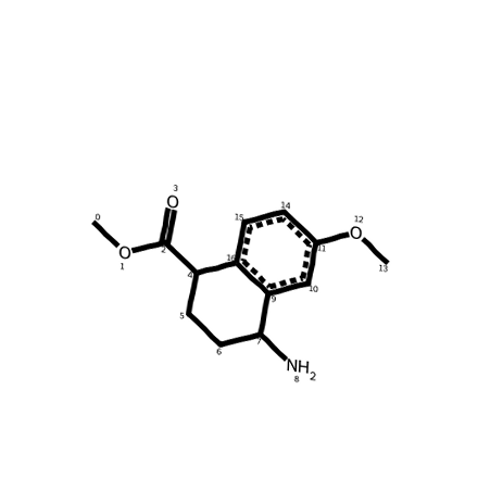 COC(=O)C1CCC(N)c2cc(OC)ccc21